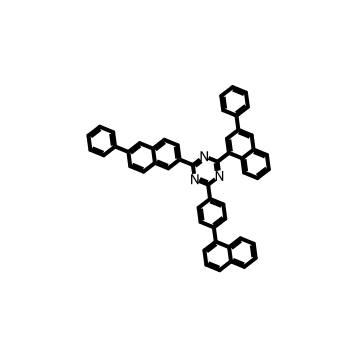 c1ccc(-c2ccc3cc(-c4nc(-c5ccc(-c6cccc7ccccc67)cc5)nc(-c5cc(-c6ccccc6)cc6ccccc56)n4)ccc3c2)cc1